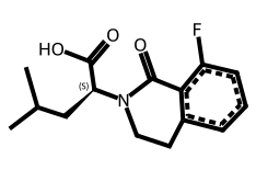 CC(C)C[C@@H](C(=O)O)N1CCc2cccc(F)c2C1=O